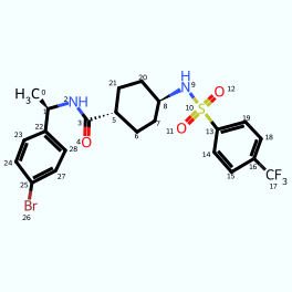 C[C@@H](NC(=O)[C@H]1CC[C@H](NS(=O)(=O)c2ccc(C(F)(F)F)cc2)CC1)c1ccc(Br)cc1